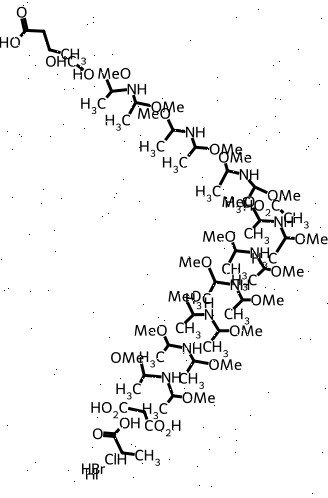 Br.CC(=O)O.CCC(=O)O.CCCC(=O)O.COC(C)NC(C)OC.COC(C)NC(C)OC.COC(C)NC(C)OC.COC(C)NC(C)OC.COC(C)NC(C)OC.COC(C)NC(C)OC.COC(C)NC(C)OC.COC(C)NC(C)OC.COC(C)NC(C)OC.Cl.I.O=C(O)CC(=O)O.O=CO